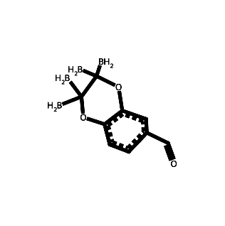 BC1(B)Oc2ccc(C=O)cc2OC1(B)B